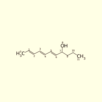 CC=CC=CC=CC(O)CCC